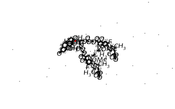 COc1c(N2CCN(Cc3oc(=O)oc3C)C(C)C2)c(F)cc2c(=O)c(C(=O)OCOC(=O)OCC([CH]C(=O)[C@]3(O)CC[C@@H]4[C@H]5CCC6=CC(=O)C=C[C@@]6(C)C5[C@H](O)C[C@]43C)COC(=O)OCOC(=O)c3cn(C4CC4)c4c(OC)c(N5CCN(Cc6oc(=O)oc6C)C(C)C5)c(F)cc4c3=O)cn(C3CC3)c12